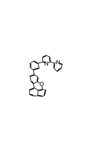 c1ccc(-c2cccc(-c3cccc(-c4ccc5c(c4)Oc4cccc6cccc-5c46)c3)n2)nc1